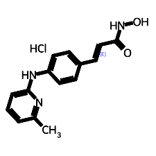 Cc1cccc(Nc2ccc(/C=C/C(=O)NO)cc2)n1.Cl